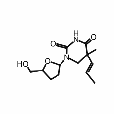 CC=CC1(C)CN([C@H]2CC[C@@H](CO)O2)C(=O)NC1=O